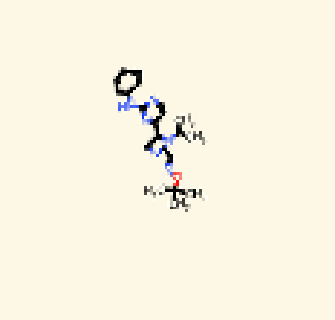 CC(C)n1c(-c2ccnc(Nc3ccccc3)n2)cnc1/C=N/OC(C)(C)C